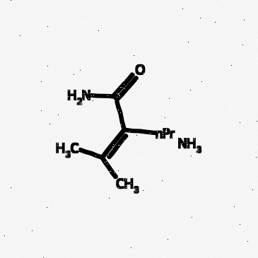 CCCC(C(N)=O)=C(C)C.N